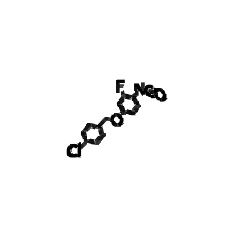 O=C=Nc1ccc(OCc2ccc(Cl)cc2)cc1F